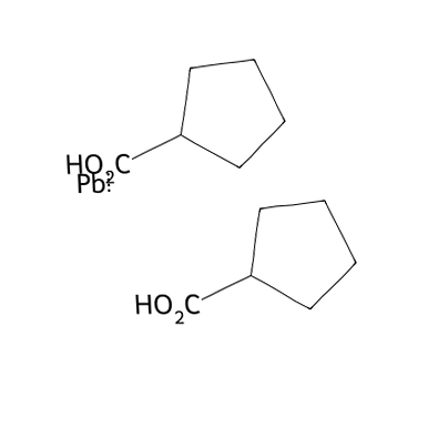 O=C(O)C1CCCC1.O=C(O)C1CCCC1.[Pb]